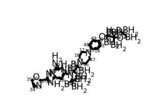 BC(B)(B)OC(B)(B)C(B)(B)Oc1ccc(N2CCN(C(B)(B)C(B)(B)N(c3cc4nc(-c5ncco5)nn4c(N)n3)C(B)(B)B)CC2)cc1